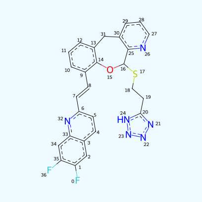 Fc1cc2ccc(C=Cc3cccc4c3OC(SCCc3nnn[nH]3)c3ncccc3C4)nc2cc1F